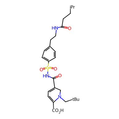 CC(C)CCC(=O)NCCc1ccc(S(=O)(=O)NC(=O)C2=CC=C(C(=O)O)N(CC(C)(C)C)C2)cc1